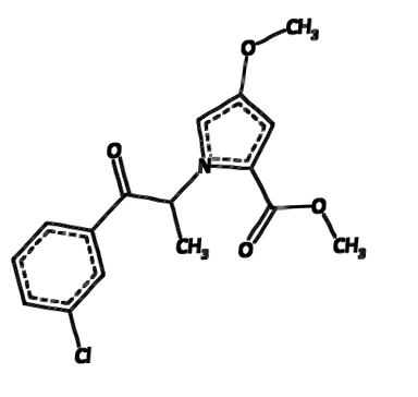 COC(=O)c1cc(OC)cn1C(C)C(=O)c1cccc(Cl)c1